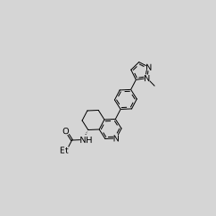 CCC(=O)N[C@@H]1CCCc2c(-c3ccc(-c4ccnn4C)cc3)cncc21